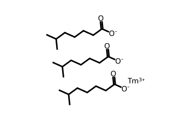 CC(C)CCCCC(=O)[O-].CC(C)CCCCC(=O)[O-].CC(C)CCCCC(=O)[O-].[Tm+3]